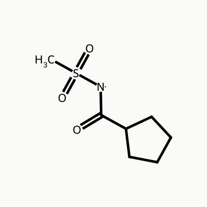 CS(=O)(=O)[N]C(=O)C1CCCC1